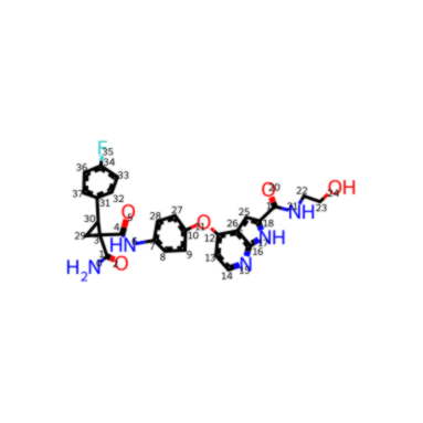 NC(=O)C1(C(=O)Nc2ccc(Oc3ccnc4[nH]c(C(=O)NCCO)cc34)cc2)CC1c1ccc(F)cc1